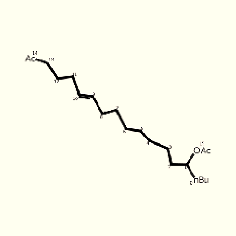 CCCCC(CCCCCCCC=CCCCC(C)=O)OC(C)=O